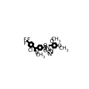 COc1ccc(CN(c2ncns2)S(=O)(=O)c2ccc3c(-c4ccc(C(F)(F)F)cc4Cl)cn(C)c3c2)c(OC)c1